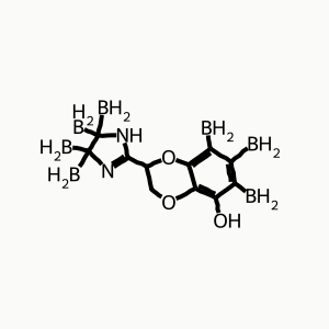 Bc1c(B)c(O)c2c(c1B)OC(C1=NC(B)(B)C(B)(B)N1)CO2